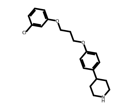 Clc1cccc(OCCCOc2ccc(C3CCNCC3)cc2)c1